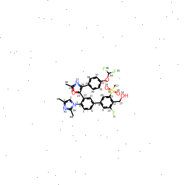 Cc1cn(-c2ccc(-c3cc(F)c(CO)c(S(C)(=O)=O)c3)cc2-c2oc(C)nc2-c2ccc(OC(F)F)cc2)c(C)n1